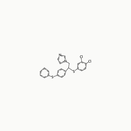 Clc1ccc(SC(Cn2ccnc2)c2ccc(Sc3ccccc3)cc2)cc1Cl